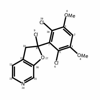 COc1cc(OC)c(Cl)c(C2(Cl)Cc3ccncc3O2)c1Cl